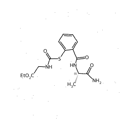 CCOC(=O)CNC(=O)Sc1ccccc1C(=O)N[C@@H](C)C(N)=O